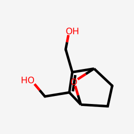 OCC1=C(CO)C2CCC1O2